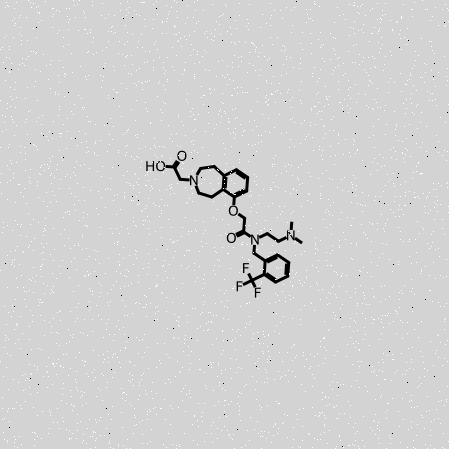 CN(C)CCN(Cc1ccccc1C(F)(F)F)C(=O)COc1cccc2c1CCN(CC(=O)O)CC2